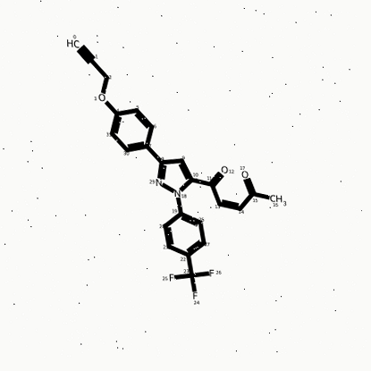 C#CCOc1ccc(-c2cc(C(=O)/C=C\C(C)=O)n(-c3ccc(C(F)(F)F)cc3)n2)cc1